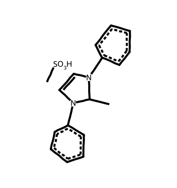 CC1N(c2ccccc2)C=CN1c1ccccc1.CS(=O)(=O)O